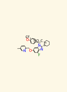 Cc1ccc(COc2cc(F)c3nc([C@H]4CCCC[C@H]4C(=O)O)n(Cc4ccc(OC(F)(F)F)cc4)c3c2)nc1